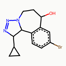 OC1CCN2N=NC(C3CC3)C2c2ccc(Br)cc21